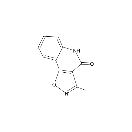 Cc1noc2c1c(=O)[nH]c1ccccc12